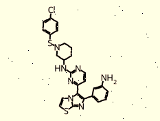 Nc1cccc(-c2nc3sccn3c2-c2ccnc(NC3CCCN(Sc4ccc(Cl)cc4)C3)n2)c1